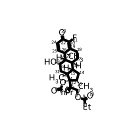 CCCC(=O)O[C@@]1(C(=O)COC(=O)CC)[C@@H](C)C[C@H]2[C@@H]3CCC4=C(F)C(=O)C=C[C@]4(C)[C@H]3[C@@H](O)C[C@@]21C